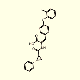 O=C(O)/C(=C\c1ccc(Oc2ccccc2I)cc1)NC(=O)[C@H]1C[C@@H]1c1ccccc1